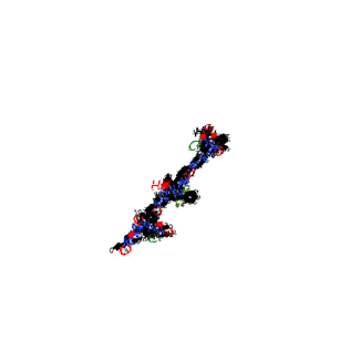 C=CC(=O)N1CCN(c2nc(=O)n(-c3c(CC)ccc(/C=C\C(=O)N4CCN(C5=NC(O)N(c6c(C)ncc(/C=C\C(=O)N7CCN(c8nc(=O)n(-c9c(CC)cccc9CC)c9nc(N%10C[C@H]%11C[C@@H]%10CO%11)c(Cl)cc89)[C@@H](C)C7)c6C6CC6)c6nc(-c7ccccc7F)c(F)cc65)[C@@H](C)C4)c3CC)c3nc(N4CCOC[C@H]4C)c(Cl)cc23)[C@@H](C)C1